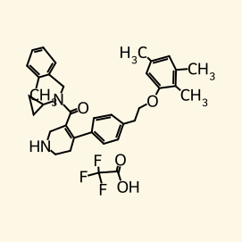 Cc1cc(C)c(C)c(OCCc2ccc(C3=C(C(=O)N(Cc4ccccc4C)C4CC4)CNCC3)cc2)c1.O=C(O)C(F)(F)F